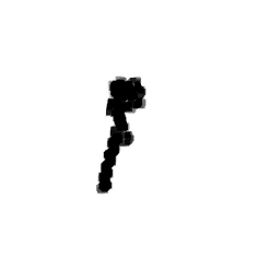 CCCCCCCCCC(=O)OCC#Cc1ncn2c1CN(C)C(=O)c1c(Cl)cccc1-2